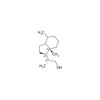 CC1CCC[C@@]2(C)C1CC[C@@H]2[C@@H](C)CO